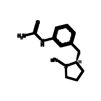 CCCN1CCC[C@H]1Cc1cccc(NC(N)=O)c1